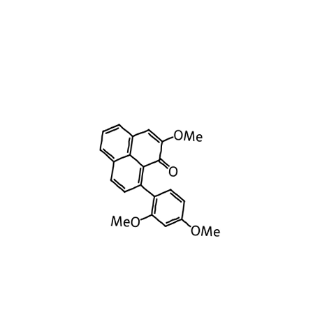 COC1=Cc2cccc3ccc(-c4ccc(OC)cc4OC)c(c23)C1=O